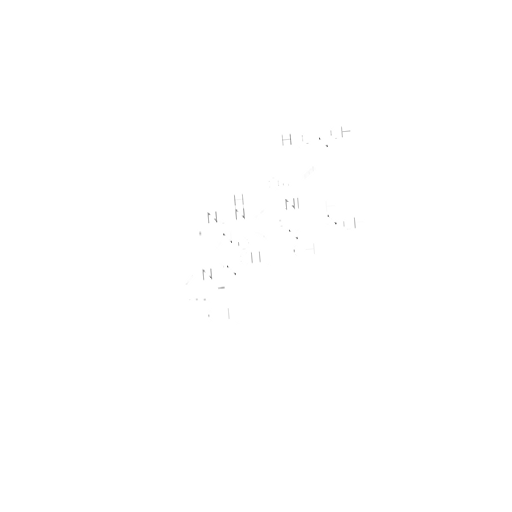 CNCCN(C)c1cc(OC)c(Nc2nccc(-c3ncc4c(C)cccn34)n2)cc1NC(=O)C#CCN(C)C